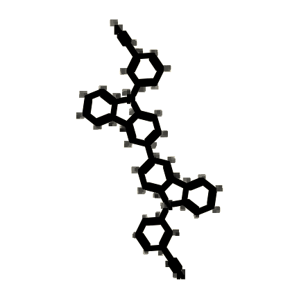 N#Cc1cccc(-n2c3ccccc3c3cc(-c4ccc5c(c4)c4ccccc4n5-c4cccc(C#N)c4)ccc32)c1